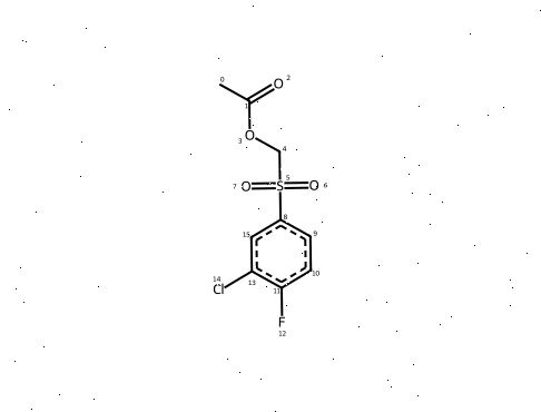 CC(=O)OCS(=O)(=O)c1ccc(F)c(Cl)c1